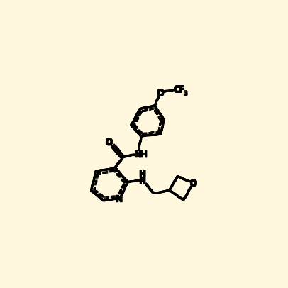 O=C(Nc1ccc(OC(F)(F)F)cc1)c1cccnc1NCC1COC1